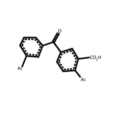 CC(=O)c1cccc(C(=O)c2ccc(C(C)=O)c(C(=O)O)c2)c1